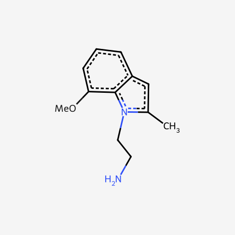 COc1cccc2cc(C)n(CCN)c12